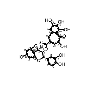 O=C(O[C@H]1[C@@H](c2ccc(O)c(O)c2)Oc2cc(O)cc3c2[C@H]1O3)c1cc(O)c(=O)c2c(O)c(O)c(O)cc2c1